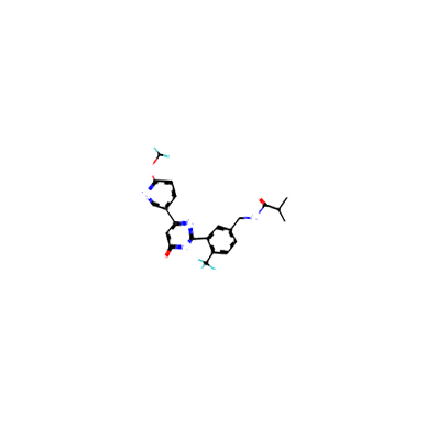 CC(C)C(=O)NCc1ccc(C(F)(F)F)c(-c2nc(-c3ccc(OC(F)F)nc3)cc(=O)[nH]2)c1